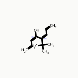 C=C/C=C(\C(O)=C/C=C)C(C)(C)C